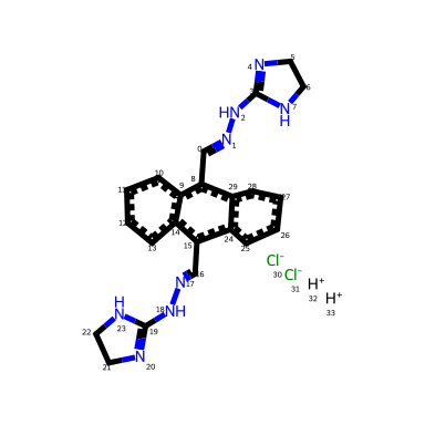 C(=N\NC1=NCCN1)/c1c2ccccc2c(/C=N/NC2=NCCN2)c2ccccc12.[Cl-].[Cl-].[H+].[H+]